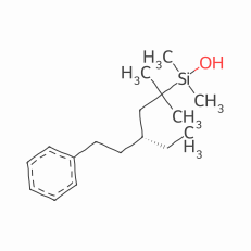 CC[C@H](CCc1ccccc1)CC(C)(C)[Si](C)(C)O